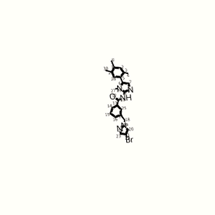 Cc1cc(C)c(-c2cnc(NC(=O)c3cccc(Cn4cc(Br)cn4)c3)n2C)cc1C